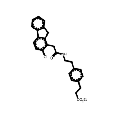 CCOC(=O)CCc1ccc(CCNC(=O)Cc2c(Cl)ccc3c2Cc2ccccc2-3)cc1